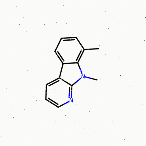 Cc1cccc2c3cccnc3n(C)c12